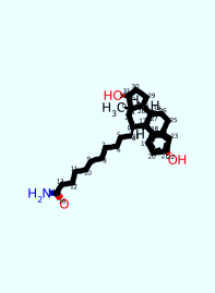 C[C@]12C[C@H](CCCCCCCCCCC(N)=O)[C@@H]3c4ccc(O)cc4CC[C@H]3[C@@H]1CC[C@@H]2O